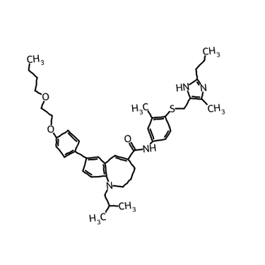 CCCCOCCOc1ccc(-c2ccc3c(c2)/C=C(/C(=O)Nc2ccc(SCc4[nH]c(CCC)nc4C)c(C)c2)CCCN3CC(C)C)cc1